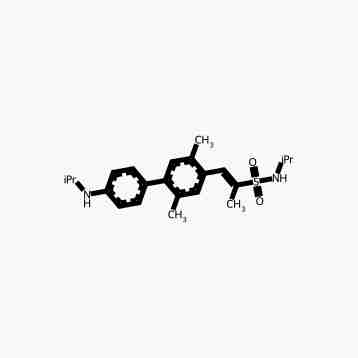 C/C(=C\c1cc(C)c(-c2ccc(NC(C)C)cc2)cc1C)S(=O)(=O)NC(C)C